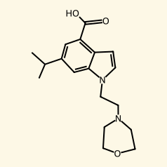 CC(C)c1cc(C(=O)O)c2ccn(CCN3CCOCC3)c2c1